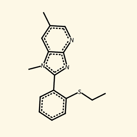 CCSc1ccccc1-c1nc2ncc(C)cc2n1C